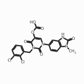 Cn1c(=O)[nH]c2cc(-n3cc(OC(=O)O)c(=O)n(Cc4cccc(Cl)c4Cl)c3=O)ccc21